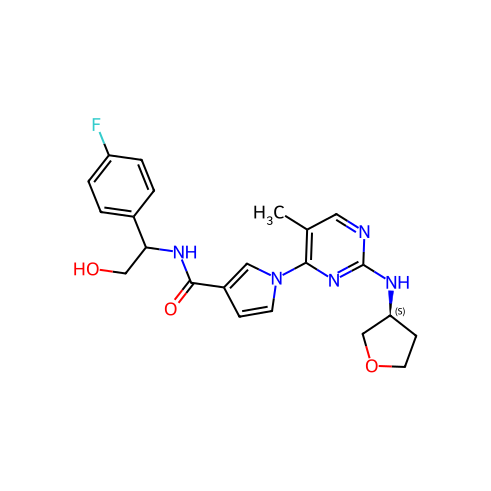 Cc1cnc(N[C@H]2CCOC2)nc1-n1ccc(C(=O)NC(CO)c2ccc(F)cc2)c1